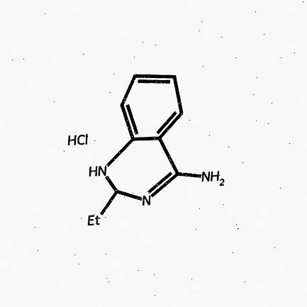 CCC1N=C(N)c2ccccc2N1.Cl